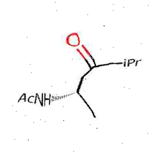 CC(=O)N[C@@H](C)C(=O)C(C)C